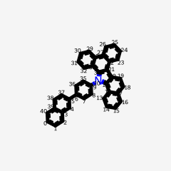 c1ccc2cc(-c3ccc(-n4c5c6ccccc6ccc5c5c6ccccc6c6ccccc6c54)cc3)ccc2c1